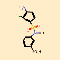 CCN(c1cccc(S(=O)(=O)O)c1)S(=O)(=O)c1ccc(N)c(Cl)c1